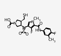 Cc1cc(NC(=O)c2c(F)c(N([C@H]3CN(C(=O)O)C[C@H]3CS)[SH](=O)=O)cn2C)ccc1F